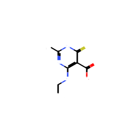 CCNc1nc(C)[nH]c(=S)c1C(=O)O